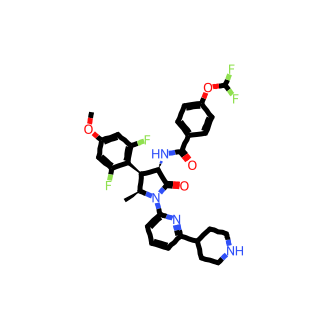 COc1cc(F)c([C@H]2[C@H](NC(=O)c3ccc(OC(F)F)cc3)C(=O)N(c3cccc(C4CCNCC4)n3)[C@H]2C)c(F)c1